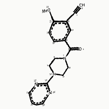 C#Cc1cc(C(=O)N2CCN(c3ncccn3)CC2)ccc1OC